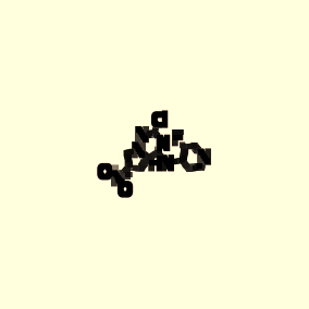 O=[N+]([O-])c1cc2c(Nc3ccncc3F)nc(Cl)nn2c1